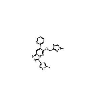 Cc1cc(-c2nnc3cc(-c4ccccn4)c(OCc4ncn(C)n4)nn23)no1